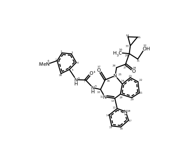 CNc1cccc(NC(=O)NC2N=C(c3ccccn3)c3ccccc3N(CC(=O)C(C)(CO)C3CC3)C2=O)c1